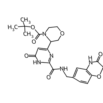 CC(C)(C)OC(=O)N1CCOCC1c1cc(=O)[nH]c(C(=O)NCc2ccc3c(c2)NC(=O)CO3)n1